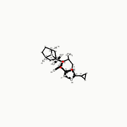 CC1CNCCN1S(=O)(=O)N1[C@@H]2CC[C@H]1C[C@@H](NC(=O)c1cc(C3CC3)on1)C2